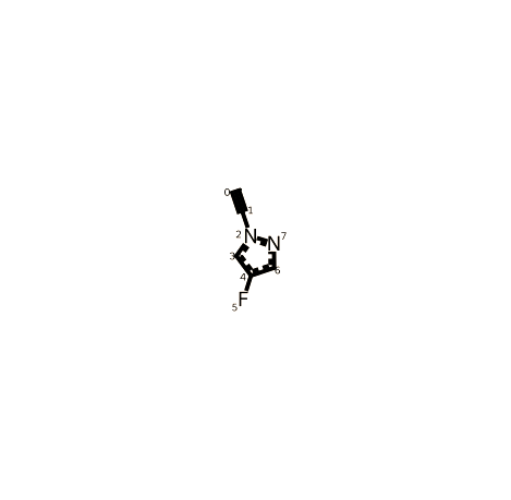 [C]#Cn1cc(F)cn1